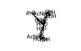 CC(=O)NC1C(OCCOCCNC(=O)CCC(NC(=O)CCCNC(=O)CCCCCCC(=O)C(C)C)C(=O)NCCOCCOC2OC(CO)C(O)C(O)C2NC(C)=O)OC(CO)C(O)C1O